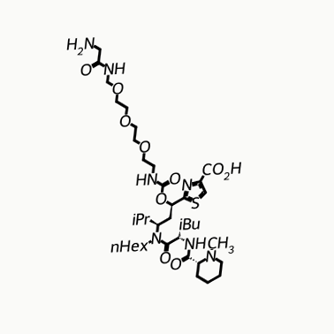 CCCCCCN(C(=O)[C@@H](NC(=O)[C@H]1CCCCN1C)[C@@H](C)CC)[C@H](C[C@@H](OC(=O)NCCOCCOCCOCNC(=O)CN)c1nc(C(=O)O)cs1)C(C)C